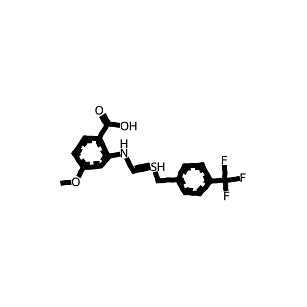 COc1ccc(C(=O)O)c(NC=[SH]Cc2ccc(C(F)(F)F)cc2)c1